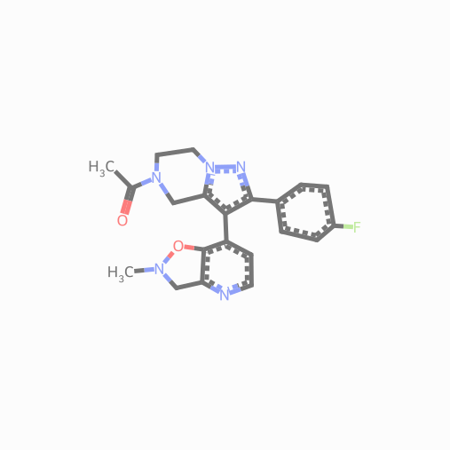 CC(=O)N1CCn2nc(-c3ccc(F)cc3)c(-c3ccnc4c3ON(C)C4)c2C1